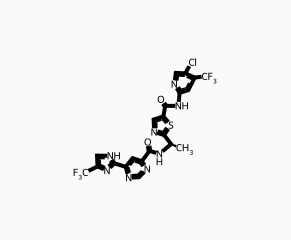 C[C@@H](NC(=O)c1cc(-c2nc(C(F)(F)F)c[nH]2)ncn1)c1ncc(C(=O)Nc2cc(C(F)(F)F)c(Cl)cn2)s1